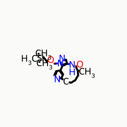 CC1CCCCc2cc(ccn2)-c2c(cnn2COCC[Si](C)(C)C)NC1=O